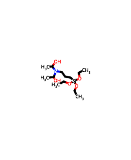 CCO[Si](CCCN(C(C)O)C(C)O)(OCC)OCC